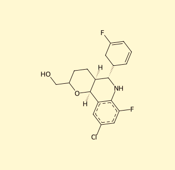 OCC1CC[C@@H]2[C@H](O1)c1cc(Cl)cc(F)c1N[C@H]2C1C=CC=C(F)C1